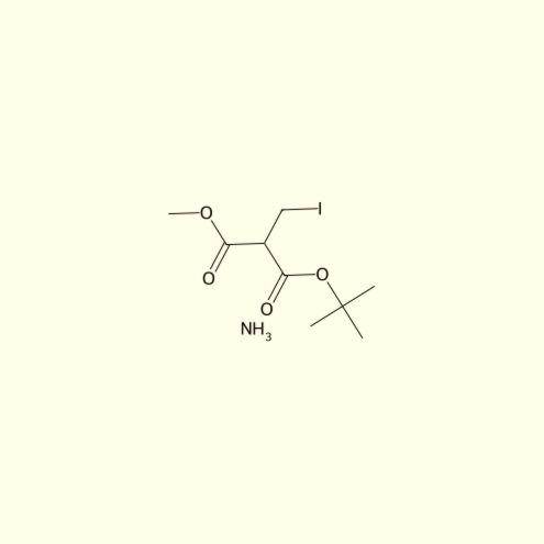 COC(=O)C(CI)C(=O)OC(C)(C)C.N